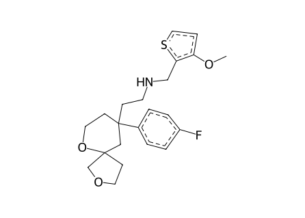 COc1ccsc1CNCCC1(c2ccc(F)cc2)CCOC2(CCOC2)C1